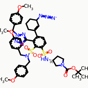 COc1ccc(CN(Cc2ccc(OC)cc2)S(=O)(=O)c2c(S(=O)(=O)N[C@@H]3CCN(C(=O)OC(C)(C)C)C3)ccc(C3=CC(N=[N+]=[N-])CCC3)c2-c2nnn(Cc3ccc(OC)cc3)n2)cc1